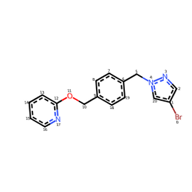 Brc1cnn(Cc2ccc(COc3ccccn3)cc2)c1